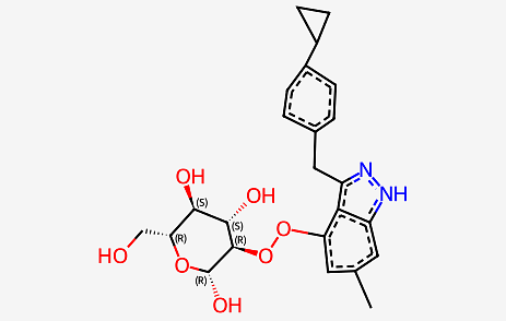 Cc1cc(OO[C@@H]2[C@@H](O)[C@H](O)[C@@H](CO)O[C@H]2O)c2c(Cc3ccc(C4CC4)cc3)n[nH]c2c1